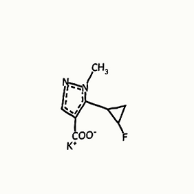 Cn1ncc(C(=O)[O-])c1C1CC1F.[K+]